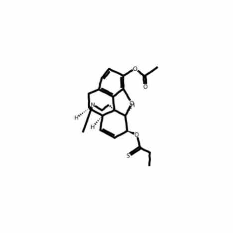 CCC(=S)O[C@H]1C=C[C@H]2[C@H]3Cc4ccc(OC(C)=O)c5c4[C@@]2(CCN3C)[C@H]1O5